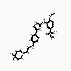 CC(C)Oc1ccc(S(N)(=O)=O)cc1Nc1nc(-c2ccc(OCCN3CCC(C)(F)CC3)cc2)cs1